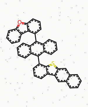 c1ccc2cc3c(cc2c1)sc1c(-c2c4ccccc4c(-c4cccc5oc6ccccc6c45)c4ccccc24)cccc13